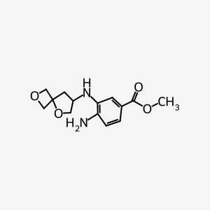 COC(=O)c1ccc(N)c(NC2COC3(COC3)C2)c1